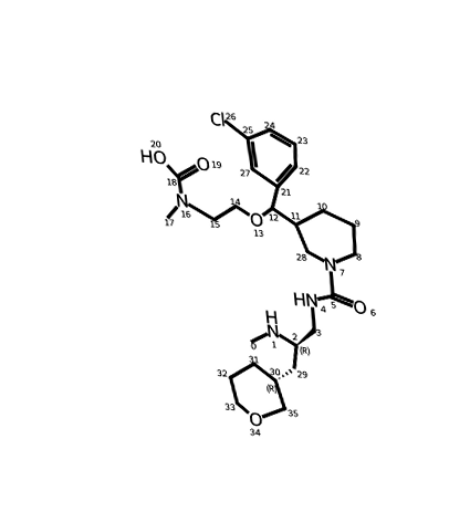 CN[C@@H](CNC(=O)N1CCCC(C(OCCN(C)C(=O)O)c2cccc(Cl)c2)C1)C[C@H]1CCCOC1